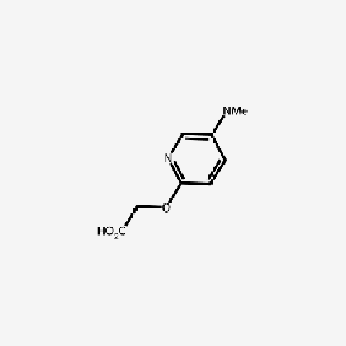 CNc1ccc(OCC(=O)O)nc1